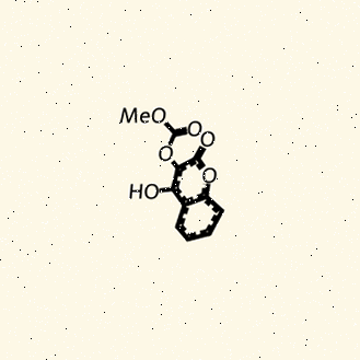 COC(=O)Oc1c(O)c2ccccc2oc1=O